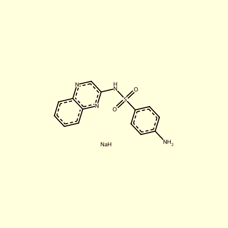 Nc1ccc(S(=O)(=O)Nc2cnc3ccccc3n2)cc1.[NaH]